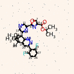 CC(C)OC(=O)c1coc(-c2cncc([C@@]34CC[C@@H](c5cc(-c6c(F)cccc6F)nnc53)C4(C)C)n2)n1